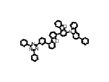 c1ccc(-c2ccc3c(c2)c2ccccc2n3-c2ccc(-c3cccc4c3oc3cccc(-c5cccc(-c6nc(-c7ccccc7)nc(-c7ccccc7)n6)c5)c34)c3c2oc2ccccc23)cc1